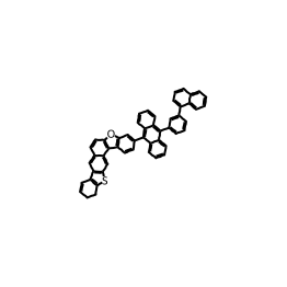 C1=Cc2c(sc3cc4c(ccc5oc6cc(-c7c8ccccc8c(-c8cccc(-c9cccc%10ccccc9%10)c8)c8ccccc78)ccc6c54)cc23)CC1